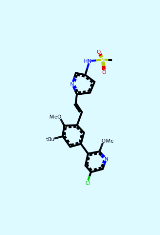 COc1ncc(Cl)cc1-c1cc(/C=C/c2ccc(NS(C)(=O)=O)cn2)c(OC)c(C(C)(C)C)c1